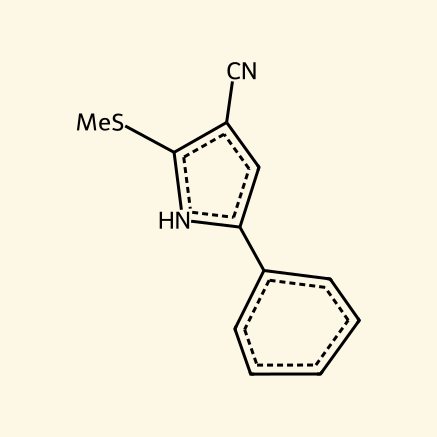 CSc1[nH]c(-c2ccccc2)cc1C#N